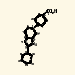 O=C(O)c1ccc(-n2ccc3nc(-c4ccccc4)nc-3c2)cc1